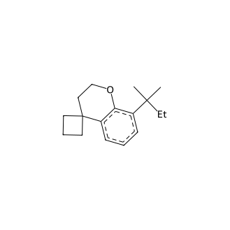 CCC(C)(C)c1cccc2c1OCCC21CCC1